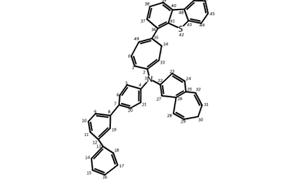 C1=CC(N(c2ccc(-c3cccc(-c4ccccc4)c3)cc2)c2ccc3c(c2)C=CCC=C3)=CCC(c2cccc3c2sc2ccccc23)=C1